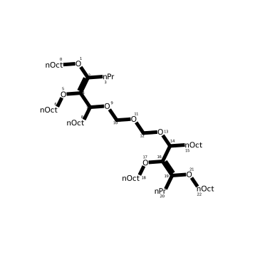 CCCCCCCCOC(CCC)=C(OCCCCCCCC)C(CCCCCCCC)OCOCOC(CCCCCCCC)C(OCCCCCCCC)=C(CCC)OCCCCCCCC